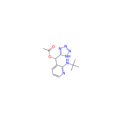 CC(=O)OC(c1nnn[nH]1)c1cccnc1NC(C)(C)C